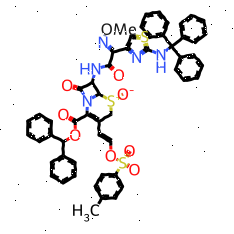 CON=C(C(=O)NC1C(=O)N2C(C(=O)OC(c3ccccc3)c3ccccc3)=C(C=COS(=O)(=O)c3ccc(C)cc3)C[S+]([O-])C12)c1csc(NC(c2ccccc2)(c2ccccc2)c2ccccc2)n1